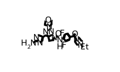 CCN1CCN(C(=O)c2cc(F)c(NC(=O)N3CCc4c(-c5cnc(N)nc5)nc(N5CCOCC5)nc43)c(F)c2)CC1